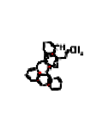 CCCC(=NN(Cc1ccccc1)Cc1ccccc1)C(C)=NN(Cc1ccccc1)Cc1ccccc1